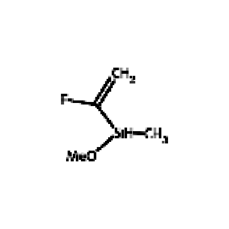 C=C(F)[SiH](C)OC